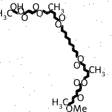 COC(C)CCC(=O)/C=C/C(=O)OCCC(C)CCC(=O)OCCCCCCCCCCOC(=O)CCC(C)CCOC(=O)/C=C/C(=O)OCC(C)O